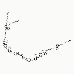 CCCCCCCCCOC(=O)CCCCCCCC(=O)Oc1ccc(CC(=O)OCCC2CCN(CCSSCCN3CCC(CCOC(=O)Cc4ccc(OC(=O)CCCCCCCC(=O)OC(CCCCCCCC)CCCCCCCC)cc4)CC3)CC2)cc1